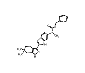 CN(C(=O)OCc1ccccc1)c1ccc2cc(-c3n[nH]c4c3CCC(C)(C)C4)[nH]c2c1